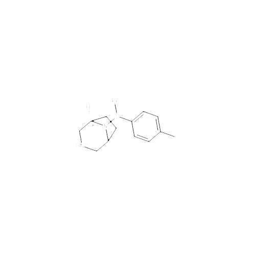 Cc1ccc([S+]([O-])N2C3CC[C@@H]2CNC3)cc1